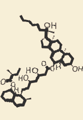 CCCCCC[C@](C)(O)[C@H]1CCC2C3C[C@H](OC(=O)C[C@@H](O)C[C@H](O)CC[C@@H]4[C@@H]5C(=CCC[C@@H]5OC(=O)[C@@H](C)CC)C=C[C@@H]4C)[C@H]4C[C@@H](O)CC[C@]4(C)C3CC[C@@]21C